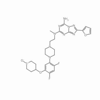 CN(CCN1CCN(c2cc(OC3CC[S+]([O-])CC3)c(F)cc2F)CC1)c1nc(N)n2nc(-c3ccco3)nc2n1